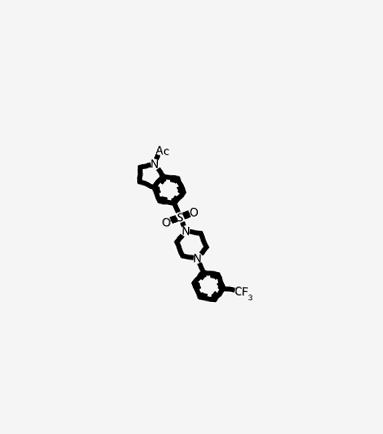 CC(=O)N1CCc2cc(S(=O)(=O)N3CCN(c4cccc(C(F)(F)F)c4)CC3)ccc21